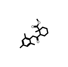 COC(=O)C1(C)CCCCC1C(=O)Cc1c(C)cc(C)cc1C